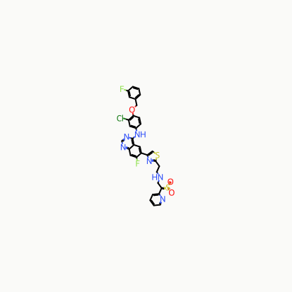 O=S(=O)=C(CNCCc1nc(-c2cc3c(Nc4ccc(OCc5cccc(F)c5)c(Cl)c4)ncnc3cc2F)cs1)c1ccccn1